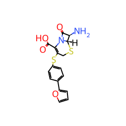 N[C@@H]1C(=O)N2C(C(=O)O)=C(Sc3ccc(-c4ccco4)cc3)CS[C@@H]12